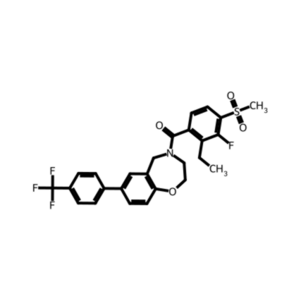 CCc1c(C(=O)N2CCOc3ccc(-c4ccc(C(F)(F)F)cc4)cc3C2)ccc(S(C)(=O)=O)c1F